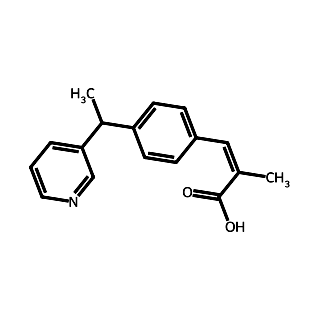 CC(=Cc1ccc(C(C)c2cccnc2)cc1)C(=O)O